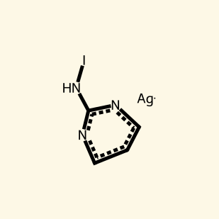 INc1ncccn1.[Ag]